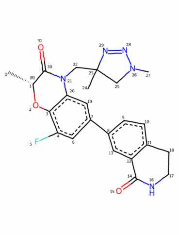 C[C@H]1Oc2c(F)cc(-c3ccc4c(c3)C(=O)NCC4)cc2N(CC2(C)CN(C)N=N2)C1=O